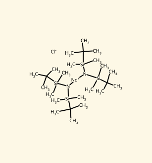 CC(C)(C)[Si](C)(C)[N]([Nd+][N]([Si](C)(C)C(C)(C)C)[Si](C)(C)C(C)(C)C)[Si](C)(C)C(C)(C)C.[Cl-]